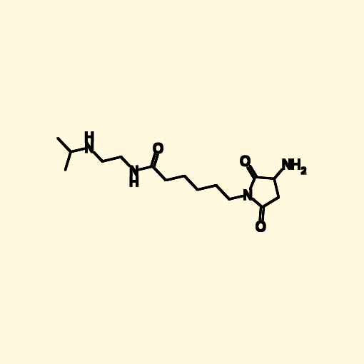 CC(C)NCCNC(=O)CCCCCN1C(=O)CC(N)C1=O